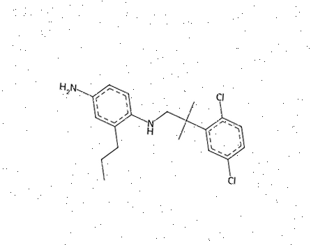 CCCc1cc(N)ccc1NCC(C)(C)c1cc(Cl)ccc1Cl